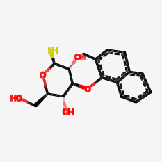 Cc1ccc2ccccc2c1O[C@@H]1[C@@H](O)[C@H](S)O[C@H](CO)[C@H]1O